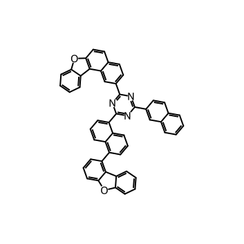 c1ccc2cc(-c3nc(-c4ccc5ccc6oc7ccccc7c6c5c4)nc(-c4cccc5c(-c6cccc7oc8ccccc8c67)cccc45)n3)ccc2c1